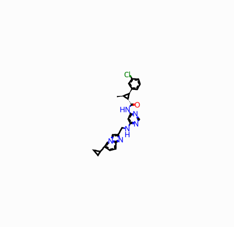 C[C@@H]1[C@@H](C(=O)Nc2cc(NCc3cn4cc(C5CC5)ccc4n3)ncn2)[C@@H]1c1cccc(Cl)c1